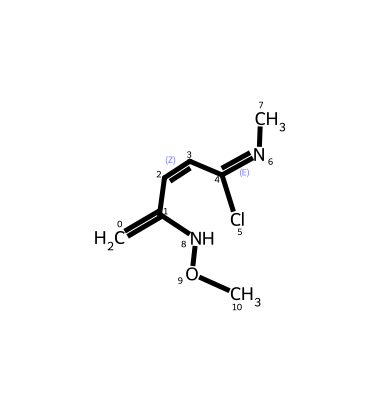 C=C(/C=C\C(Cl)=N/C)NOC